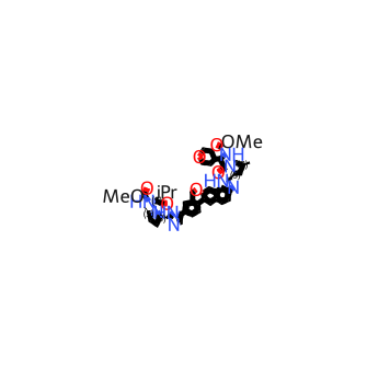 COC(=O)NC(C(=O)N1C[C@@H](C)C[C@H]1c1nc2ccc3cc4c(cc3c2[nH]1)OCc1cc(-c2cnc([C@@H]3CC[C@H](C)N3C(=O)[C@@H](NC(=O)OC)C(C)C)[nH]2)ccc1-4)C1CCOCC1